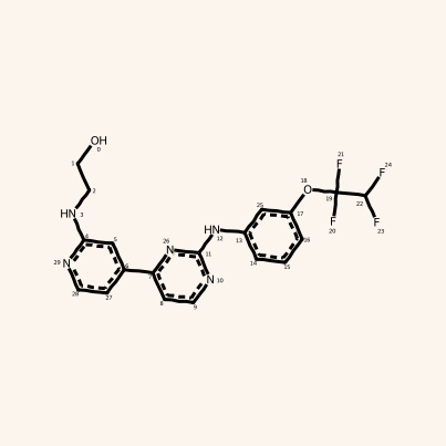 OCCNc1cc(-c2ccnc(Nc3cccc(OC(F)(F)C(F)F)c3)n2)ccn1